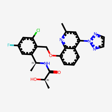 Cc1cc(-n2nccn2)c2cccc(OCc3c(Cl)cc(F)cc3[C@H](C)NC(=O)[C@@H](C)O)c2n1